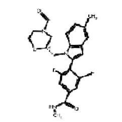 CNC(=O)c1cc(F)c(-c2cc3cc(C)ccc3n2C[C@H]2CN([C]=O)CCO2)c(F)c1